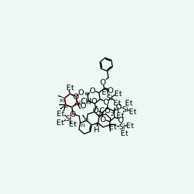 CCC1O[C@@H](O[C@H]2C(O[C@@H]3OCC(O[Si](CC)(CC)CC)C(O[Si](CC)(CC)CC)C3C)C(O[Si](CC)(CC)CC)C(C(=O)OCc3ccccc3)O[C@H]2OC2CCC(C)(C)C(CC[C@]3(C)CCC=C4[C@H]5CC(C)(C)CC[C@]5(C(=O)O)C(C)C[C@]43C)[C@@]2(C)C=O)C(O[Si](CC)(CC)CC)[C@@H](C)[C@H]1C